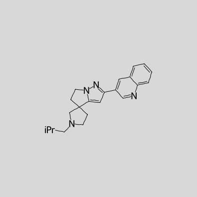 CC(C)CN1CCC2(CCn3nc(-c4cnc5ccccc5c4)cc32)C1